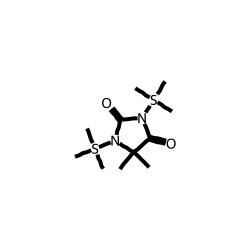 CC1(C)C(=O)N(S(C)(C)C)C(=O)N1S(C)(C)C